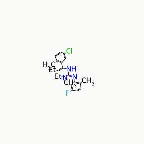 CC/C=C(/N/C(=N/c1cc(F)ccc1C)N(C)CC)c1cc(Cl)ccc1C